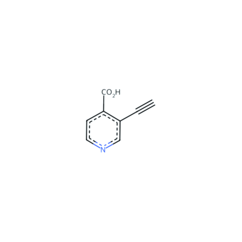 C#Cc1cnccc1C(=O)O